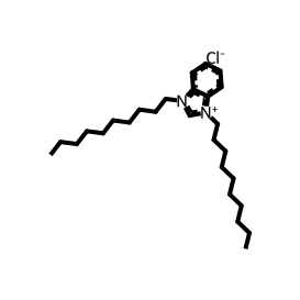 CCCCCCCCCCn1c[n+](CCCCCCCCCC)c2ccccc21.[Cl-]